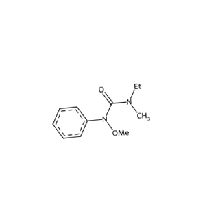 CCN(C)C(=O)N(OC)c1ccccc1